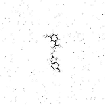 O=C1C=CC2=C(C1)SC(CCNC(=O)c1cccc(C(F)(F)F)c1)N2